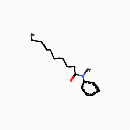 CC(=O)CCCCCCCCC(=O)N(c1ccccc1)C(C)C